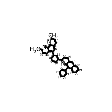 Cc1ccc2cc(-c3cccc(-c4ccc5cc6ccccc6c(-c6ccccc6)c5n4)c3)c3ccc(C)nc3c2n1